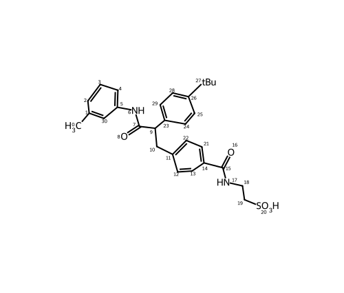 Cc1cccc(NC(=O)C(Cc2ccc(C(=O)NCCS(=O)(=O)O)cc2)c2ccc(C(C)(C)C)cc2)c1